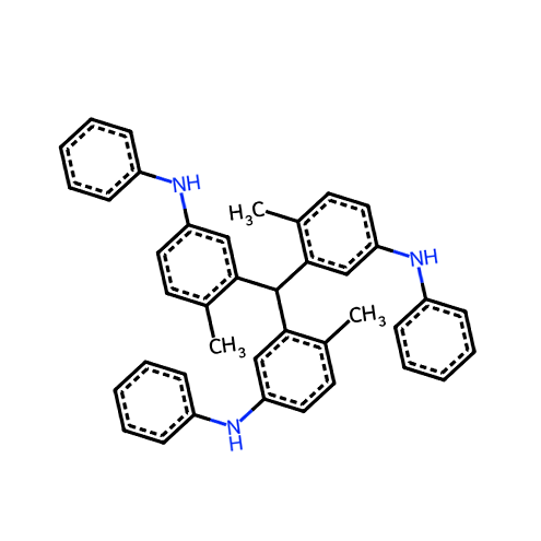 Cc1ccc(Nc2ccccc2)cc1C(c1cc(Nc2ccccc2)ccc1C)c1cc(Nc2ccccc2)ccc1C